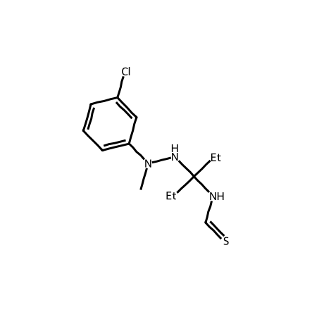 CCC(CC)(NC=S)NN(C)c1cccc(Cl)c1